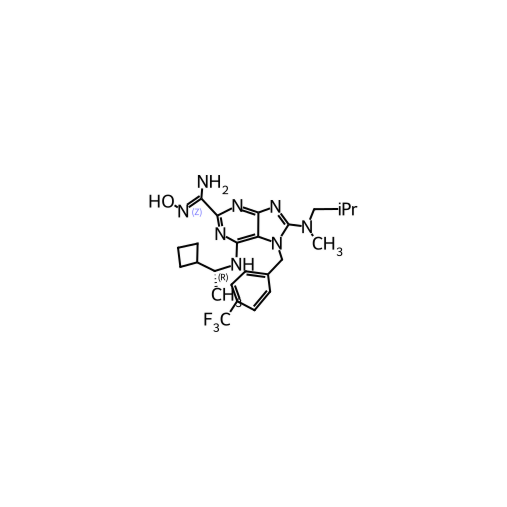 CC(C)CN(C)c1nc2nc(/C(N)=N/O)nc(N[C@H](C)C3CCC3)c2n1Cc1ccc(C(F)(F)F)cc1